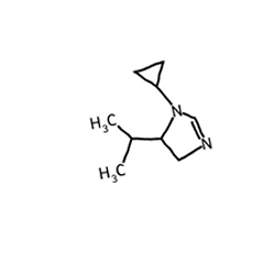 CC(C)C1CN=CN1C1CC1